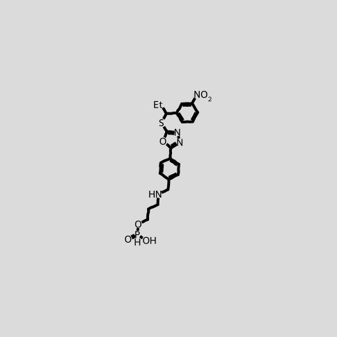 CCC(Sc1nnc(-c2ccc(CNCCCO[PH](=O)O)cc2)o1)c1cccc([N+](=O)[O-])c1